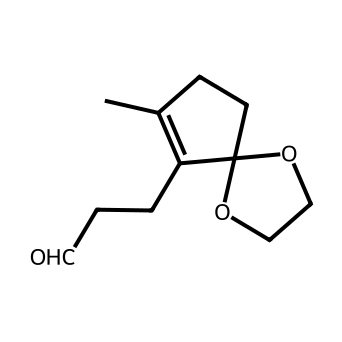 CC1=C(CCC=O)C2(CC1)OCCO2